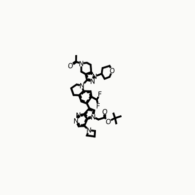 CC(=O)N1CCc2c(c(N3CCCc4cc(-c5cn(CC(=O)OC(C)(C)C)c6c(N7CCC7)cnnc56)c(C(F)F)cc43)nn2C2CCOCC2)C1